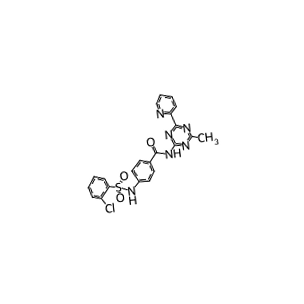 Cc1nc(NC(=O)c2ccc(NS(=O)(=O)c3ccccc3Cl)cc2)nc(-c2ccccn2)n1